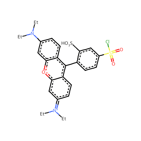 CCN(CC)c1ccc2c(-c3ccc(S(=O)(=O)Cl)cc3S(=O)(=O)O)c3ccc(=[N+](CC)CC)cc-3oc2c1